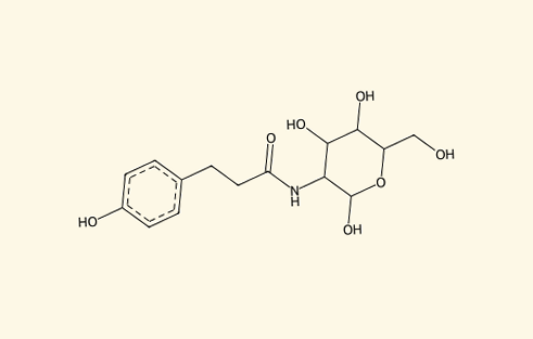 O=C(CCc1ccc(O)cc1)NC1C(O)OC(CO)C(O)C1O